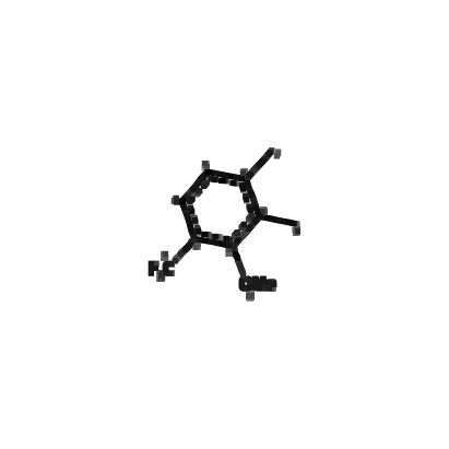 COc1c(C(F)(F)F)ccc(C)c1C